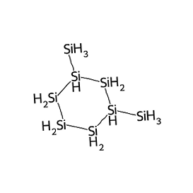 [SiH3][SiH]1[SiH2][SiH2][SiH2][SiH]([SiH3])[SiH2]1